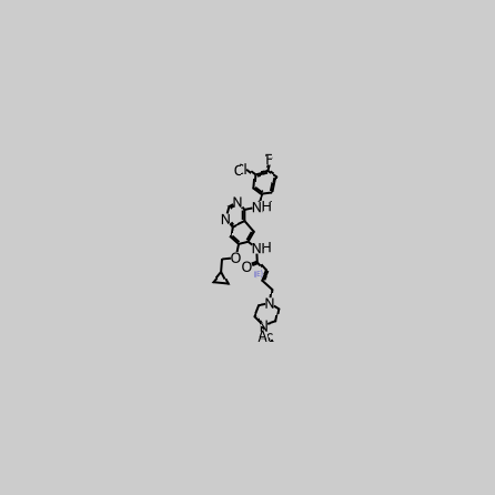 CC(=O)N1CCN(C/C=C/C(=O)Nc2cc3c(Nc4ccc(F)c(Cl)c4)ncnc3cc2OCC2CC2)CC1